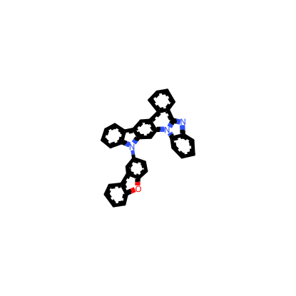 c1ccc2c(c1)nc1c3ccccc3c3cc4c5ccccc5n(-c5ccc6oc7ccccc7c6c5)c4cc3n21